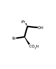 CC(C)[C@H](O)[C@H](Br)C(=O)O